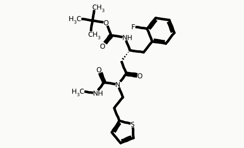 CNC(=O)N(CCc1cccs1)C(=O)C[C@@H](Cc1ccccc1F)NC(=O)OC(C)(C)C